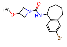 CC(C)OC1CN(C(=O)NC2CCCCc3cc(Br)ccc32)C1